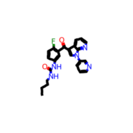 CCCCNC(=O)Nc1ccc(F)c(C(=O)c2cn(-c3cccnc3)c3ncccc23)c1